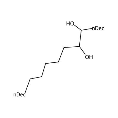 CCCCCCCCCCCCCCCC(O)C(O)CCCCCCCCCC